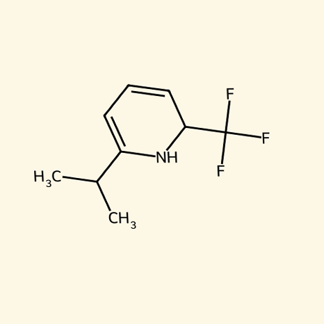 CC(C)C1=CC=CC(C(F)(F)F)N1